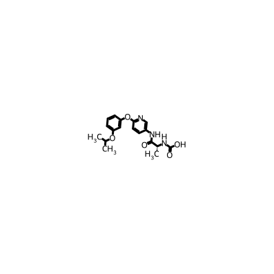 CC(C)Oc1cccc(Oc2ccc(NC(=O)[C@@H](C)NC(=O)O)cn2)c1